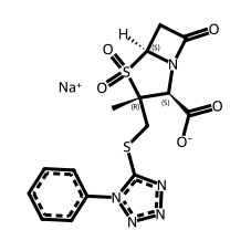 C[C@]1(CSc2nnnn2-c2ccccc2)[C@H](C(=O)[O-])N2C(=O)C[C@@H]2S1(=O)=O.[Na+]